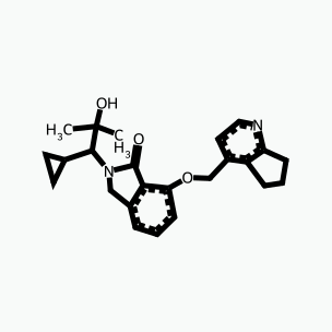 CC(C)(O)C(C1CC1)N1Cc2cccc(OCc3ccnc4c3CCC4)c2C1=O